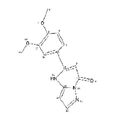 COc1ccc(-c2cc(=O)n3nccc3[nH]2)cc1OC